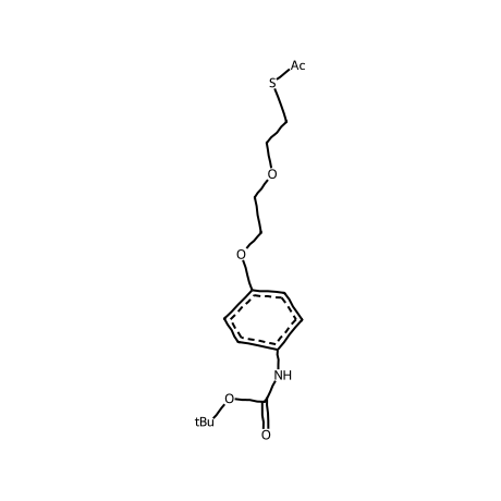 CC(=O)SCCOCCOc1ccc(NC(=O)OC(C)(C)C)cc1